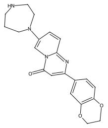 O=c1cc(-c2ccc3c(c2)OCCO3)nc2ccc(N3CCCNCC3)cn12